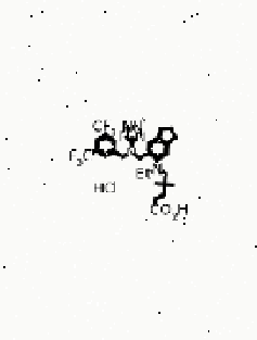 CCN(CC(C)(C)CCC(=O)O)c1cc2c(cc1CN(Cc1cc(C(F)(F)F)cc(C(F)(F)F)c1)c1nnn(C)n1)CCC2.Cl